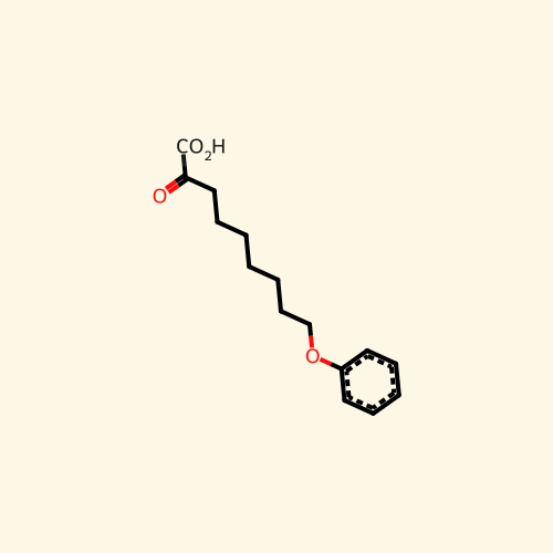 O=C(O)C(=O)CCCCCCCOc1ccccc1